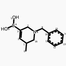 CC1C=C(B(O)O)CN(Cc2ccccc2)C1